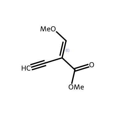 C#C/C(=C\OC)C(=O)OC